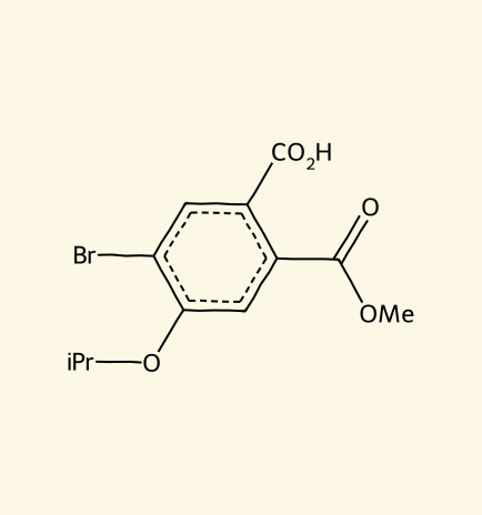 COC(=O)c1cc(OC(C)C)c(Br)cc1C(=O)O